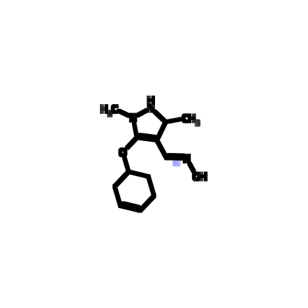 CC1NN(C)C(OC2CC=CCC2)=C1/C=N/O